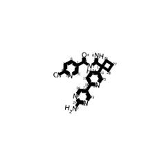 N=C(NC(=O)c1ccc(Cl)nc1)C1(c2ccc(-c3cnc(N)nc3)nc2)CCC1